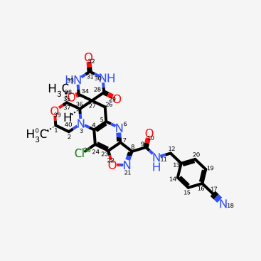 C[C@H]1CN2c3c(nc4c(C(=O)NCc5ccc(C#N)cc5)noc4c3Cl)CC3(C(=O)NC(=O)NC3=O)[C@@H]2[C@@H](C)O1